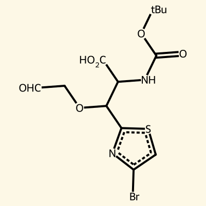 CC(C)(C)OC(=O)NC(C(=O)O)C(OCC=O)c1nc(Br)cs1